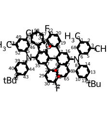 Cc1cc(C)cc(N(c2ccc(C(C)(C)C)cc2)c2cc(-c3ccc(F)cc3)c(-c3c(-c4ccc(F)cc4)cc(N(c4ccc(C(C)(C)C)cc4)c4cc(C)cc(C)c4)c4c3oc3ccccc34)c3ccccc23)c1